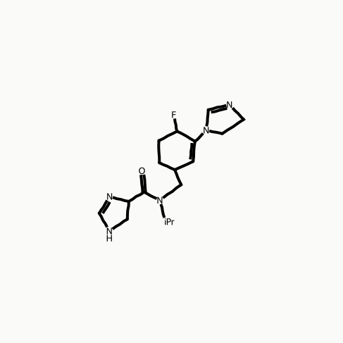 CC(C)N(CC1C=C(N2C=NCC2)C(F)CC1)C(=O)C1CNC=N1